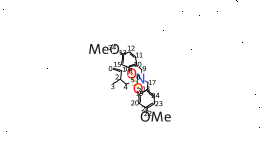 C=CC(C)CS(=O)(=O)N(Cc1ccc(OC)cc1)Cc1ccc(OC)cc1